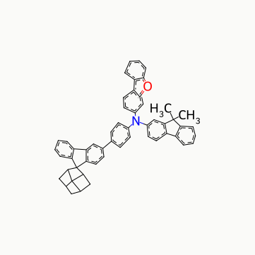 CC1(C)c2ccccc2-c2ccc(N(c3ccc(-c4ccc5c(c4)-c4ccccc4C54C5CC6CC7CC4C675)cc3)c3ccc4c(c3)oc3ccccc34)cc21